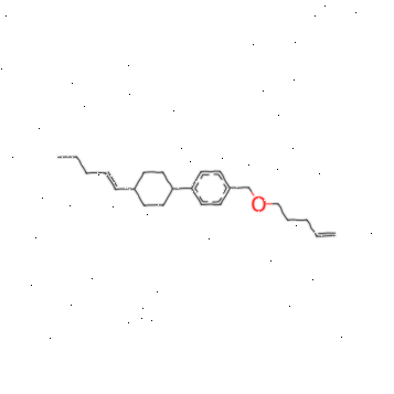 C=CCCCOCc1ccc(C2CCC(/C=C/CCC)CC2)cc1